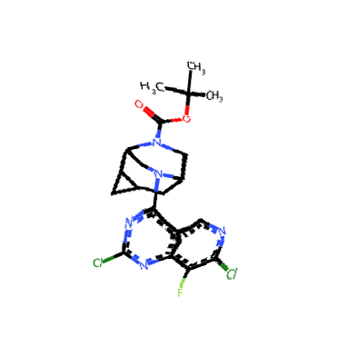 CC(C)(C)OC(=O)N1CC2CC3CC3C1CN2c1nc(Cl)nc2c(F)c(Cl)ncc12